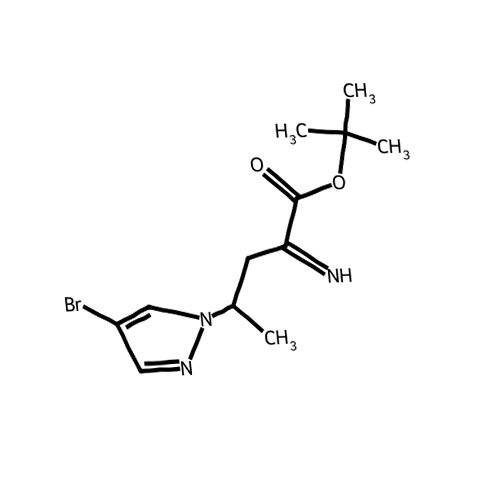 CC(CC(=N)C(=O)OC(C)(C)C)n1cc(Br)cn1